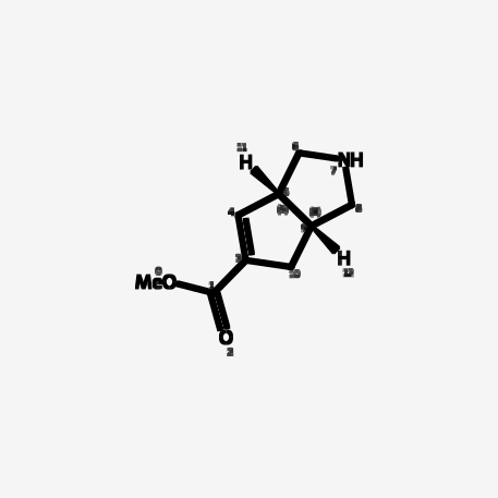 COC(=O)C1=C[C@@H]2CNC[C@@H]2C1